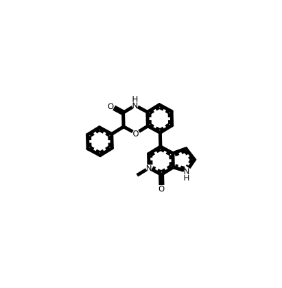 Cn1cc(-c2cccc3c2OC(c2ccccc2)C(=O)N3)c2cc[nH]c2c1=O